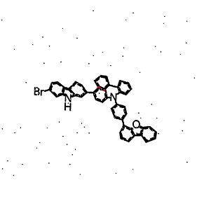 Brc1ccc2c(c1)[nH]c1cc(-c3ccc(N(c4ccc(-c5cccc6c5oc5ccccc56)cc4)c4ccccc4-c4ccccc4)cc3)ccc12